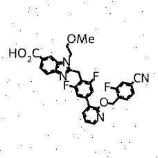 COCCn1c(Cc2c(F)cc(-c3cccnc3OCc3ccc(C#N)cc3F)cc2F)nc2ccc(C(=O)O)cc21